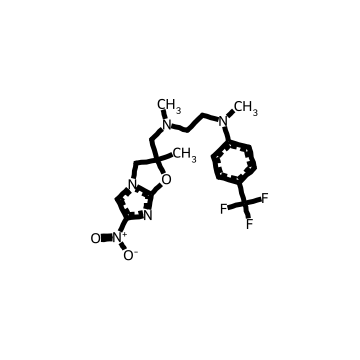 CN(CCN(C)c1ccc(C(F)(F)F)cc1)CC1(C)Cn2cc([N+](=O)[O-])nc2O1